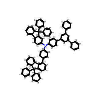 c1ccc(-c2cc(-c3ccccc3)cc(-c3ccc(N(c4ccc(-c5cccc6c5-c5ccccc5C6(c5ccccc5)c5ccccc5)cc4)c4ccc5c(c4)C(c4ccccc4)(c4ccccc4)c4ccccc4-5)cc3)c2)cc1